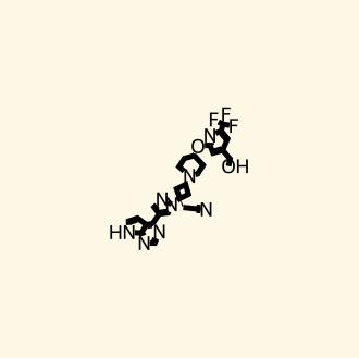 N#CC[C@]1(n2cc(-c3ncnc4[nH]ccc34)cn2)C[C@@H](N2CCC(Oc3cc(CO)cc(C(F)(F)F)n3)CC2)C1